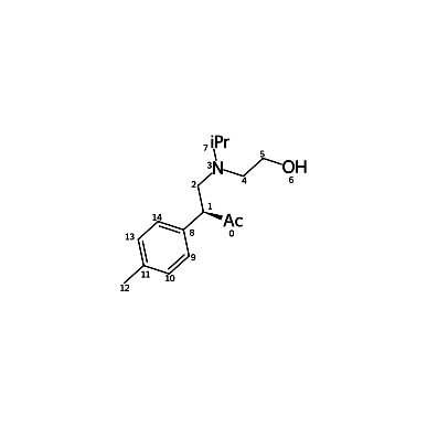 CC(=O)[C@H](CN(CCO)C(C)C)c1ccc(C)cc1